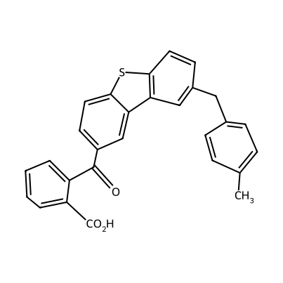 Cc1ccc(Cc2ccc3sc4ccc(C(=O)c5ccccc5C(=O)O)cc4c3c2)cc1